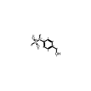 CN(c1ccc(CO)cc1)S(C)(=O)=O